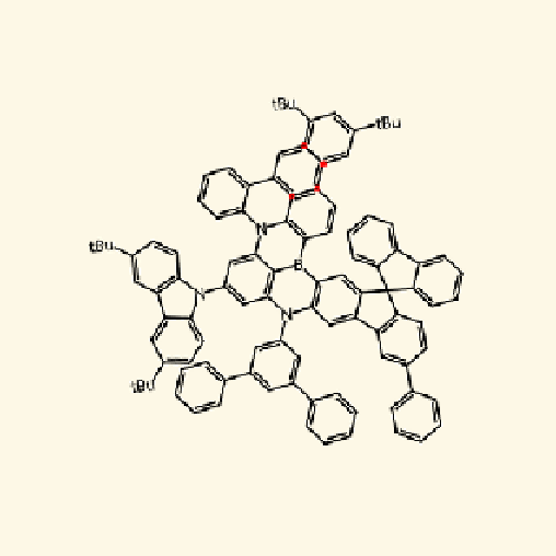 CC(C)(C)c1cc(-c2ccc3c(c2)N(c2ccccc2-c2ccccc2)c2cc(-n4c5ccc(C(C)(C)C)cc5c5cc(C(C)(C)C)ccc54)cc4c2B3c2cc3c(cc2N4c2cc(-c4ccccc4)cc(-c4ccccc4)c2)-c2cc(-c4ccccc4)ccc2C32c3ccccc3-c3ccccc32)cc(C(C)(C)C)c1